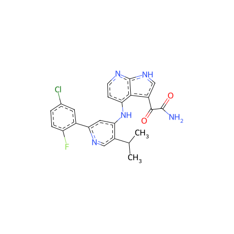 CC(C)c1cnc(-c2cc(Cl)ccc2F)cc1Nc1ccnc2[nH]cc(C(=O)C(N)=O)c12